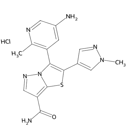 Cc1ncc(N)cc1-c1c(-c2cnn(C)c2)sc2c(C(N)=O)cnn12.Cl